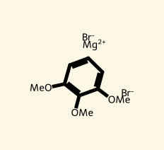 COc1cccc(OC)c1OC.[Br-].[Br-].[Mg+2]